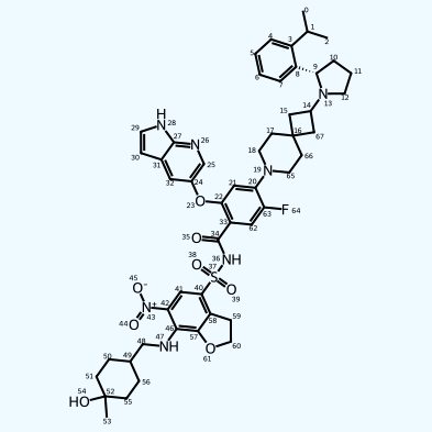 CC(C)c1ccccc1[C@@H]1CCCN1C1CC2(CCN(c3cc(Oc4cnc5[nH]ccc5c4)c(C(=O)NS(=O)(=O)c4cc([N+](=O)[O-])c(NCC5CCC(C)(O)CC5)c5c4CCO5)cc3F)CC2)C1